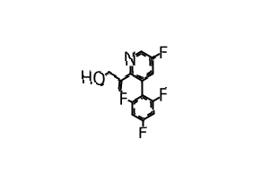 C=C(CO)c1ncc(F)cc1-c1c(F)cc(F)cc1F